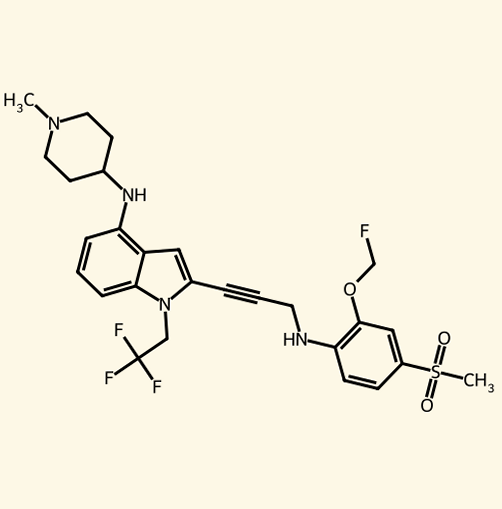 CN1CCC(Nc2cccc3c2cc(C#CCNc2ccc(S(C)(=O)=O)cc2OCF)n3CC(F)(F)F)CC1